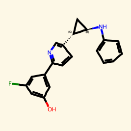 Oc1cc(F)cc(-c2ccc([C@@H]3C[C@H]3Nc3ccccc3)cn2)c1